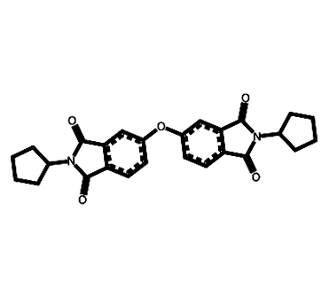 O=C1c2ccc(Oc3ccc4c(c3)C(=O)N(C3CCCC3)C4=O)cc2C(=O)N1C1CCCC1